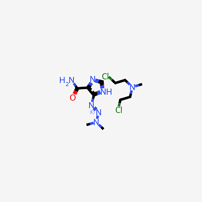 CN(C)/N=N/c1[nH]cnc1C(N)=O.CN(CCCl)CCCl